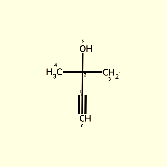 C#CC([CH2])(C)O